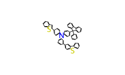 c1ccc(C2(c3ccc(N(c4ccc(-c5cc6ccccc6s5)cc4)c4cccc(-c5ccc6sc7ccccc7c6c5)c4)cc3)c3ccccc3-c3ccccc32)cc1